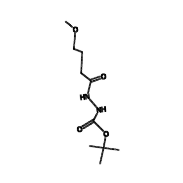 COCCCC(=O)NNC(=O)OC(C)(C)C